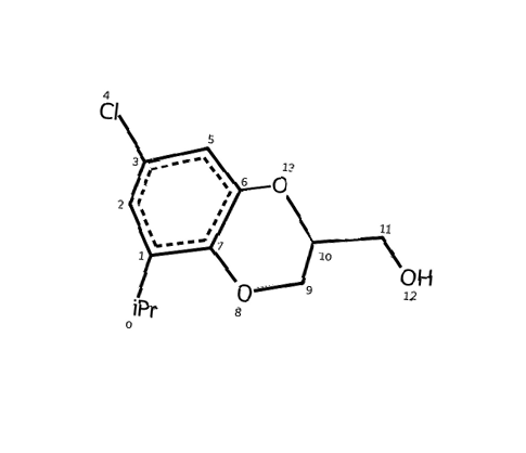 CC(C)c1cc(Cl)cc2c1OCC(CO)O2